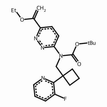 C=C(OCC)c1ccc(N(CC2(c3ncccc3F)CCC2)C(=O)OC(C)(C)C)nn1